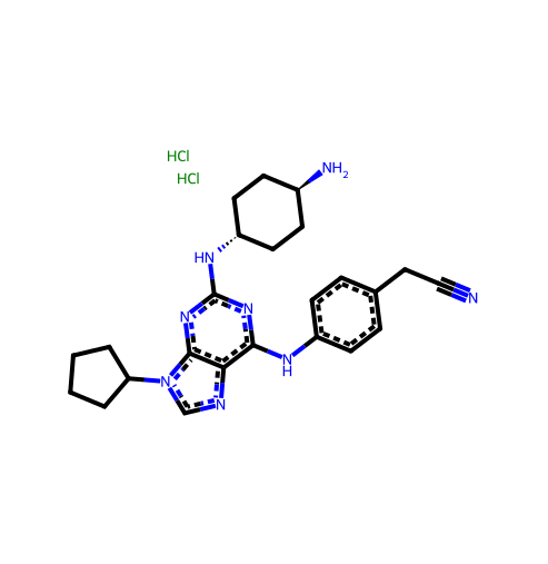 Cl.Cl.N#CCc1ccc(Nc2nc(N[C@H]3CC[C@H](N)CC3)nc3c2ncn3C2CCCC2)cc1